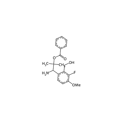 COc1ccc(C(N)C(C)(C)OC(=O)c2ccccc2)c(CO)c1F